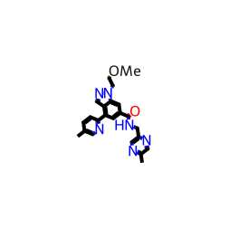 COCCn1ncc2c(-c3ccc(C)cn3)cc(C(=O)NCc3cnc(C)cn3)cc21